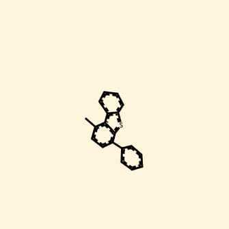 Cc1ccc(-c2ccccc2)c2sc3ccccc3c12